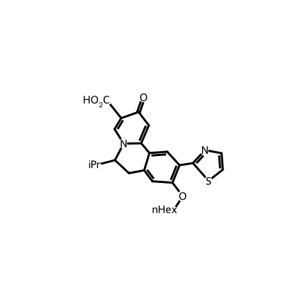 CCCCCCOc1cc2c(cc1-c1nccs1)-c1cc(=O)c(C(=O)O)cn1C(C(C)C)C2